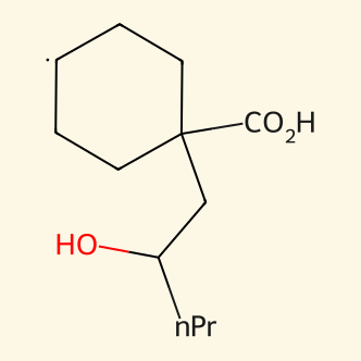 CCCC(O)CC1(C(=O)O)CC[CH]CC1